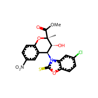 COC(=O)[C@]1(C)Oc2ccc([N+](=O)[O-])cc2[C@H](n2c(=S)oc3ccc(Cl)cc32)[C@H]1O